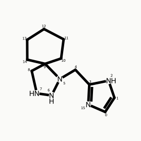 c1c[nH]c(CN2NNCC23CCCCC3)n1